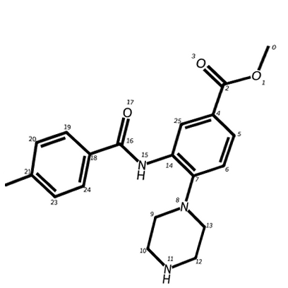 COC(=O)c1ccc(N2CCNCC2)c(NC(=O)c2ccc(Cl)cc2)c1